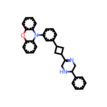 c1ccc(C2CN=C(C3CC(c4cccc(N5c6ccccc6Oc6ccccc65)c4)C3)CN2)cc1